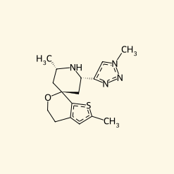 Cc1cc2c(s1)[C@]1(C[C@@H](c3cn(C)nn3)N[C@@H](C)C1)OCC2